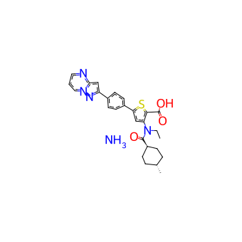 CCN(c1cc(-c2ccc(-c3cc4ncccn4n3)cc2)sc1C(=O)O)C(=O)[C@H]1CC[C@H](C)CC1.N